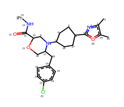 Cc1nc(C2CCC(N3CC(C(=O)NC(C)C)OCC3Cc3ccc(Cl)cc3)CC2)oc1C